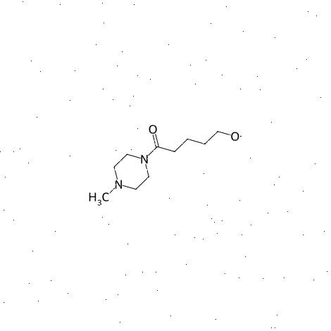 CN1CCN(C(=O)CCCC[O])CC1